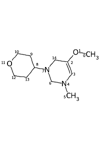 COC1=CN(C)CN(C2CCOCC2)C1